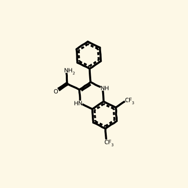 NC(=O)C1=C(c2ccccc2)Nc2c(cc(C(F)(F)F)cc2C(F)(F)F)N1